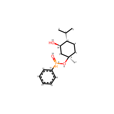 CC(C)[C@@H]1CC[C@@](C)(O[PH](=O)c2ccccc2)C[C@H]1O